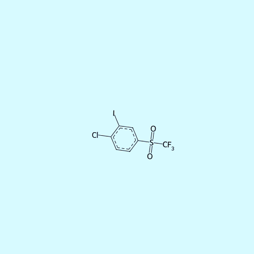 O=S(=O)(c1ccc(Cl)c(I)c1)C(F)(F)F